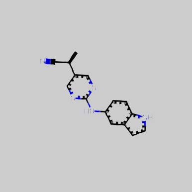 C=C(C#N)c1cnc(Nc2ccc3[nH]ccc3c2)nc1